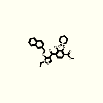 CCn1ncc(C(=O)c2ccc(C(=O)OC)c(N=S3(=O)CCCCC3)c2Cl)c1OCc1ccc2ccccc2c1